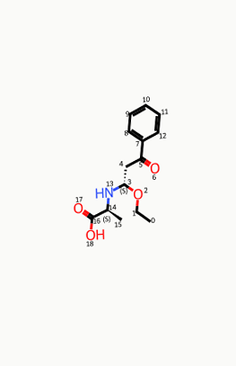 CCO[C@@H](CC(=O)c1ccccc1)N[C@@H](C)C(=O)O